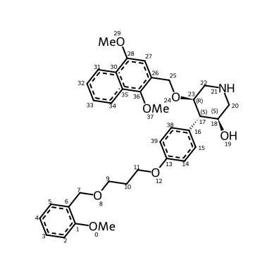 COc1ccccc1COCCCOc1ccc([C@H]2[C@H](O)CNC[C@@H]2OCc2cc(OC)c3ccccc3c2OC)cc1